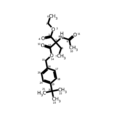 CCOC(=O)C(CC)(NC(C)=O)C(=O)OCc1ccc(C(C)(C)C)cc1